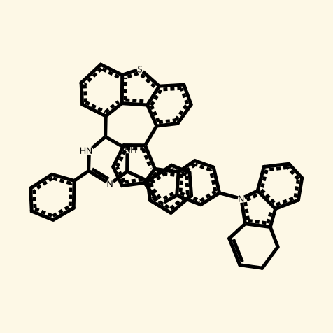 C1=Cc2c(c3ccccc3n2-c2ccc3c(c2)oc2cccc(-c4cccc5sc6cccc(C7NC(c8ccccc8)=NC(c8ccccc8)N7)c6c45)c23)CC1